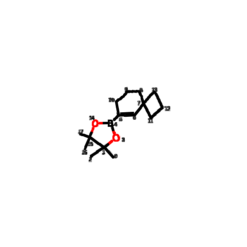 CC1(C)OB(C2=CC3(CCC2)CCC3)OC1(C)C